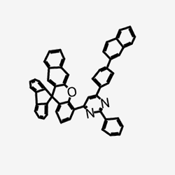 c1ccc(-c2nc(-c3ccc(-c4ccc5ccccc5c4)cc3)cc(-c3cccc4c3Oc3cc5ccccc5cc3C43c4ccccc4-c4ccccc43)n2)cc1